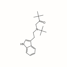 CC(C)(C)C(=O)CN(CCc1c[nH]c2ccccc12)C(C)(C)C